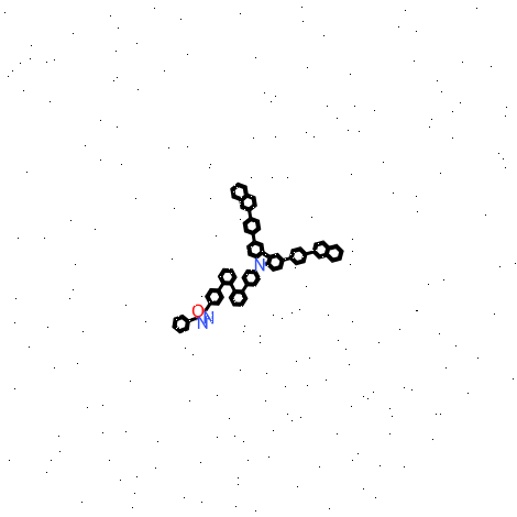 c1ccc(-c2nnc(-c3ccc(-c4ccccc4-c4ccccc4-c4ccc(-n5c6ccc(-c7ccc(-c8ccc9ccccc9c8)cc7)cc6c6cc(-c7ccc(-c8ccc9ccccc9c8)cc7)ccc65)cc4)cc3)o2)cc1